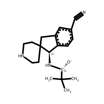 CC(C)(C)[S@@+]([O-])N[C@@H]1c2ccc(C#N)cc2CC12CCNCC2